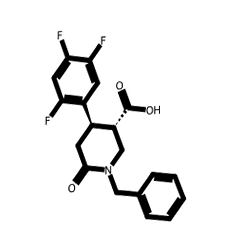 O=C(O)[C@@H]1CN(Cc2ccccc2)C(=O)C[C@H]1c1cc(F)c(F)cc1F